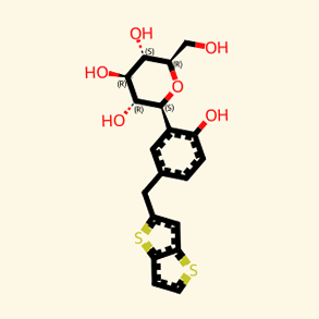 OC[C@H]1O[C@@H](c2cc(Cc3cc4sccc4s3)ccc2O)[C@H](O)[C@@H](O)[C@@H]1O